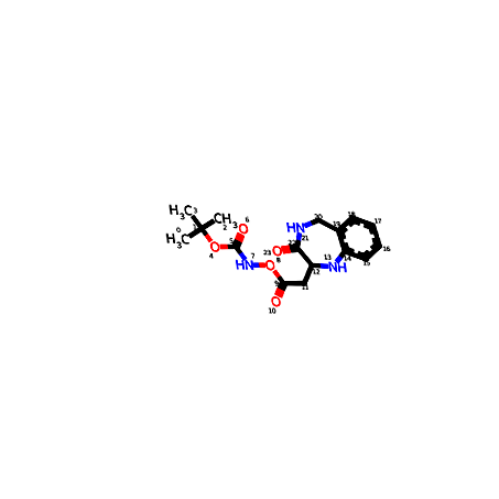 CC(C)(C)OC(=O)NOC(=O)CC1Nc2ccccc2CNC1=O